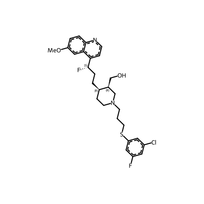 COc1ccc2nccc([C@@H](F)CC[C@@H]3CCN(CCCSc4cc(F)cc(Cl)c4)C[C@@H]3CO)c2c1